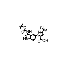 CC(C)(C)OC(=O)Nc1n[nH]c2ccc(-n3nc(C(F)(F)F)cc3C(=O)O)cc12